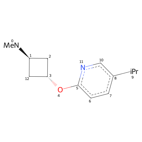 CN[C@H]1C[C@H](Oc2ccc(C(C)C)cn2)C1